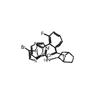 O=C(c1cccc(F)c1-c1ncccn1)N1C2CCC1C(Nc1nccn3c(Br)cnc13)C2